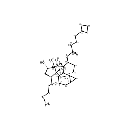 COCC[C@@H](C)[C@H]1C[C@H](O)C(C)(C)[C@]1(C)CC[C@]12CCC[C@H]3C(C)(C)[C@@H](OC(=O)NCCN4CCC4)CC[C@@]31C2